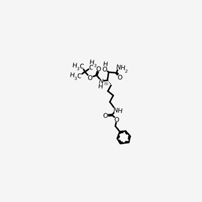 CC(C)(C)OC(=O)N[C@@H](CCCCNC(=O)OCc1ccccc1)C(O)C(N)=O